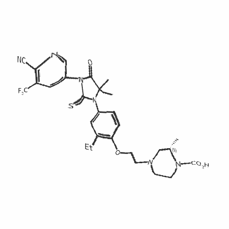 CCc1cc(N2C(=S)N(c3cnc(C#N)c(C(F)(F)F)c3)C(=O)C2(C)C)ccc1OCCN1CCN(C(=O)O)[C@@H](C)C1